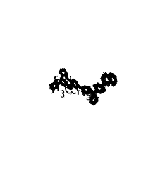 CC1(C)c2cc(-c3ccc(N(c4ccccc4)c4ccc(-c5ccc6ccccc6c5)cc4)cc3)ccc2-n2c3ccccc3c3c4sc5ccccc5c4cc1c32